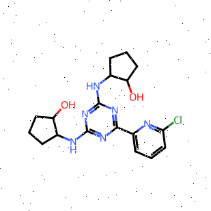 OC1CCCC1Nc1nc(NC2CCCC2O)nc(-c2cccc(Cl)n2)n1